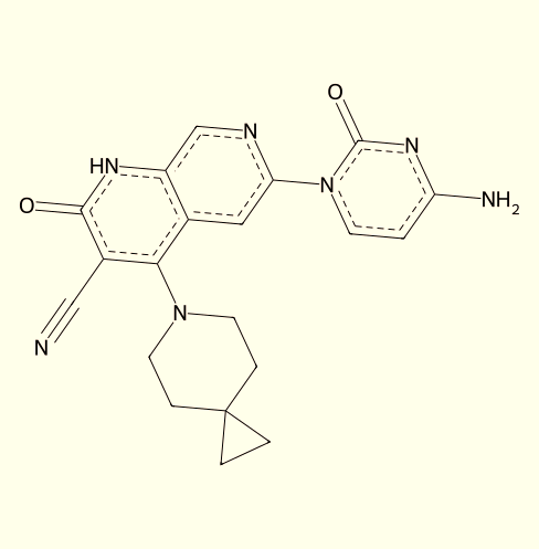 N#Cc1c(N2CCC3(CC2)CC3)c2cc(-n3ccc(N)nc3=O)ncc2[nH]c1=O